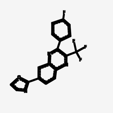 Fc1ccc(-c2nc3cc(-c4ncco4)ccc3nc2C(F)(F)F)cc1